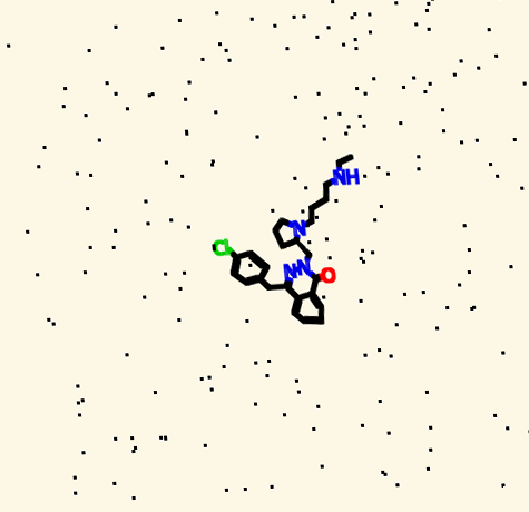 CCNCCCCN1CCC[C@@H]1Cn1nc(Cc2ccc(Cl)cc2)c2ccccc2c1=O